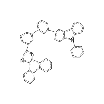 c1ccc(-n2c3ccccc3c3cc(-c4cccc(-c5cccc(-c6cnc7c8ccccc8c8ccccc8c7n6)c5)c4)ccc32)cc1